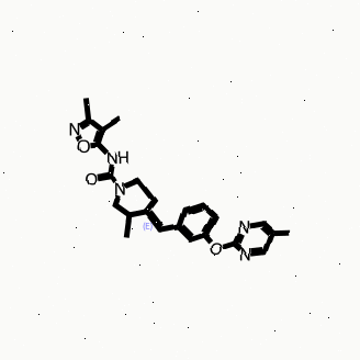 Cc1cnc(Oc2cccc(/C=C3\CCN(C(=O)Nc4onc(C)c4C)CC3C)c2)nc1